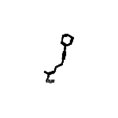 CCOC(=O)C(C)=CCCC#Cc1ccccc1